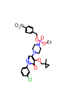 CCOP(=O)(OCc1ccc([N+](=O)[O-])cc1)N1CCN(c2cnn(-c3cccc(Cl)c3)c(=O)c2OCC2(C)CC2)CC1